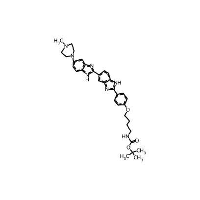 CN1CCN(c2ccc3[nH]c(-c4ccc5[nH]c(-c6ccc(OCCCCNC(=O)OC(C)(C)C)cc6)nc5c4)nc3c2)CC1